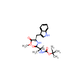 COC(=O)[C@@H](Cc1c[nH]c2ccccc12)NC(=O)C(C)(C)NC(=O)OC(C)(C)C